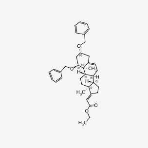 CCOC(=O)C=C1CC[C@H]2[C@@H]3CC=C4C[C@@H](OCc5ccccc5)C[C@H](OCc5ccccc5)[C@]4(C)[C@H]3CC[C@]12C